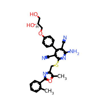 Cc1ccccc1-c1nc(CSc2nc(N)c(C#N)c(-c3ccc(OC[C@H](O)CO)cc3)c2C#N)c(C)o1